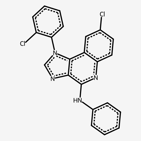 Clc1ccc2nc(Nc3ccccc3)c3ncn(-c4ccccc4Cl)c3c2c1